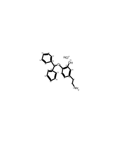 Cl.NCCc1ccc(OC(c2ccccc2)c2ccccc2)c(O)c1